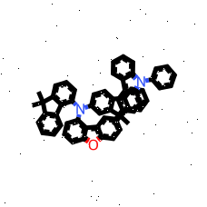 CC1(C)c2ccccc2-c2c(N(c3ccc4c(c3)C(C)(C)C3C=CC=CC43)c3cccc4oc5ccc(-c6ccc7c(c6)c6ccccc6n7-c6ccccc6)cc5c34)cccc21